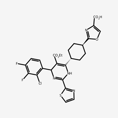 CCOC(=O)C1=C([C@H]2CC[C@H](c3nc(C(=O)O)co3)CC2)NC(c2nccs2)=NC1c1ccc(F)c(F)c1Cl